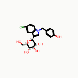 OC[C@H]1O[C@@H](c2cn(Cc3ccc(O)cc3)c3ccc(Cl)cc23)[C@H](O)[C@@H](O)[C@@H]1O